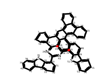 c1ccc(-c2cc3c4ccccc4c4ccccc4c3c3ccccc23)c(-c2nc(-c3cccc4c3sc3ccccc34)nc(-c3cccc4c3sc3ccccc34)n2)c1